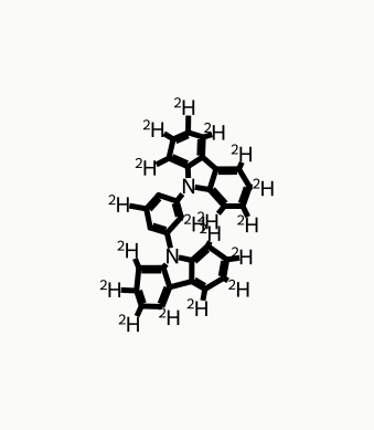 [2H]c1cc(-n2c3c([2H])c([2H])c([2H])c([2H])c3c3c([2H])c([2H])c([2H])c([2H])c32)c([2H])c(-n2c3c([2H])c([2H])c([2H])c([2H])c3c3c([2H])c([2H])c([2H])c([2H])c32)c1